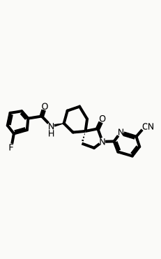 N#Cc1cccc(N2CC[C@]3(CCC[C@H](NC(=O)c4cccc(F)c4)C3)C2=O)n1